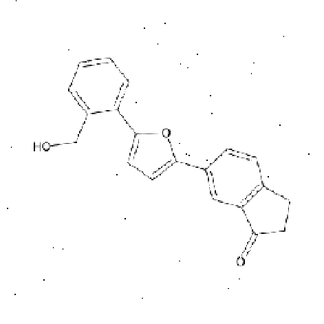 O=C1CCc2ccc(-c3ccc(-c4ccccc4CO)o3)cc21